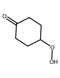 O=C1CCC(OO)CC1